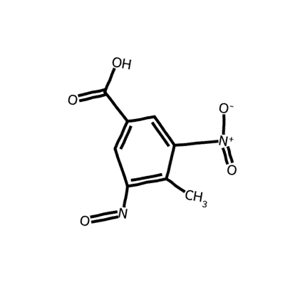 Cc1c(N=O)cc(C(=O)O)cc1[N+](=O)[O-]